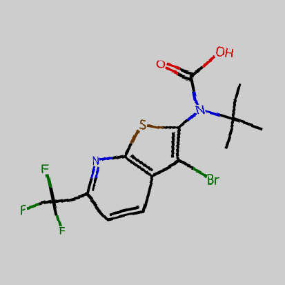 CC(C)(C)N(C(=O)O)c1sc2nc(C(F)(F)F)ccc2c1Br